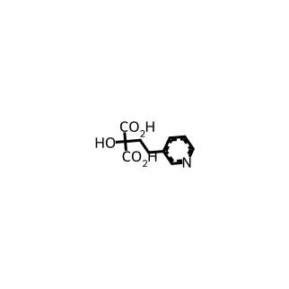 O=C(O)C(O)(CCc1cccnc1)C(=O)O